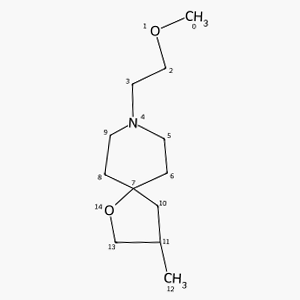 COCCN1CCC2(CC1)CC(C)CO2